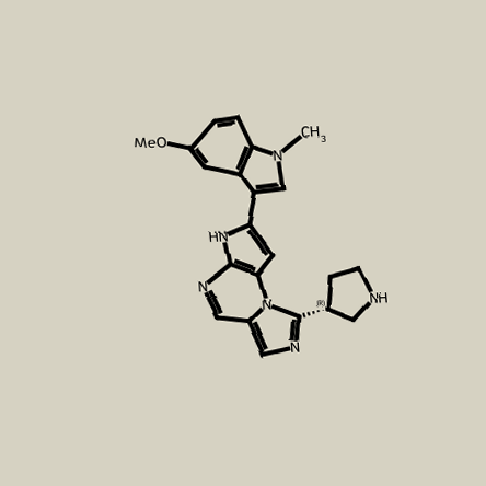 COc1ccc2c(c1)c(-c1cc3c(ncc4cnc([C@@H]5CCNC5)n43)[nH]1)cn2C